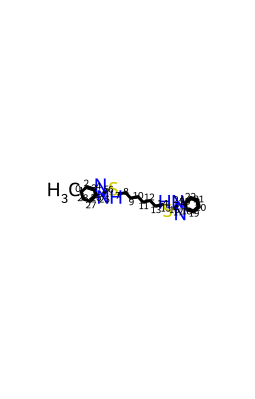 CC1C=c2nc(SCCCCCCCCSc3nc4ccccc4[nH]3)[nH]c2=CC1